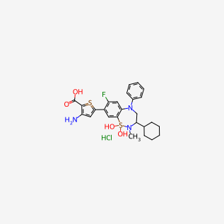 CN1C(C2CCCCC2)CN(c2ccccc2)c2cc(F)c(-c3cc(N)c(C(=O)O)s3)cc2S1(O)O.Cl